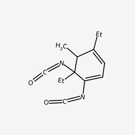 CCC1=CC=C(N=C=O)C(CC)(N=C=O)C1C